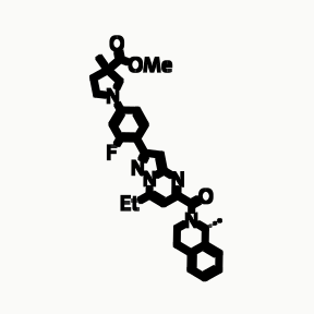 CCc1cc(C(=O)N2CCc3ccccc3[C@H]2C)nc2cc(-c3ccc(N4CCC(C)(C(=O)OC)C4)cc3F)nn12